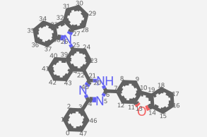 c1ccc(C2=NC(c3ccc4c(c3)oc3ccccc34)NC(c3ccc(-n4c5ccccc5c5ccccc54)c4ccccc34)=N2)cc1